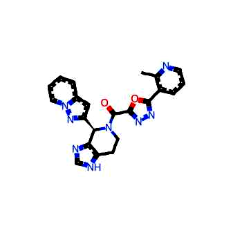 Cc1ncccc1-c1nnc(C(=O)N2CCc3[nH]cnc3[C@H]2c2cc3ccccn3n2)o1